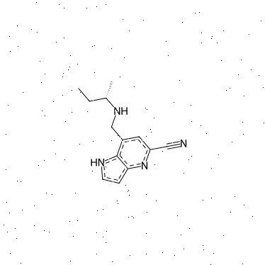 CC[C@H](C)NCc1cc(C#N)nc2cc[nH]c12